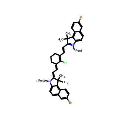 CCCCCN1/C(=C/C=C2\CCCC(/C=C/C3=[N+](CCCCC)c4ccc5cc(Br)ccc5c4C3(C)C)=C2Cl)C(C)(C)c2c1ccc1cc(Br)ccc21